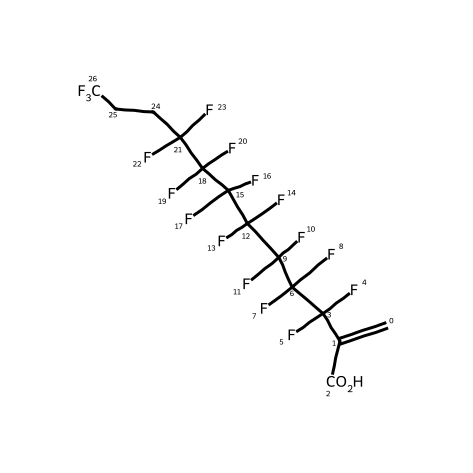 C=C(C(=O)O)C(F)(F)C(F)(F)C(F)(F)C(F)(F)C(F)(F)C(F)(F)C(F)(F)CCC(F)(F)F